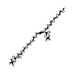 COCCOCCOCCOCCN(C#CCOCCOCCOCCOCCNC(=O)OC(C)(C)C)C(=O)OC(C)(C)C